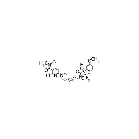 COc1cccc([C@@](O)(C(=O)N(C)CC[C@H]2CC23CCN(c2ccc(C(=O)N(C)C4CC4)c(Cl)n2)CC3)C(F)(F)F)c1